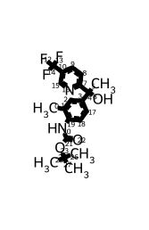 Cc1cc(C(C)(O)c2ccc(C(F)(F)F)cn2)ccc1NC(=O)OC(C)(C)C